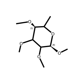 COC1C(OC)[C@@H](OC)C(C)O[C@H]1OC